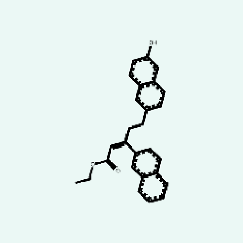 CCOC(=O)/C=C(/CCc1ccc2cc(O)ccc2c1)c1ccc2ccccc2c1